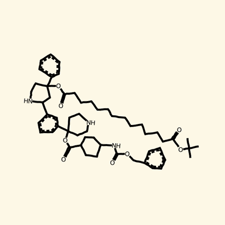 CC(C)(C)OC(=O)CCCCCCCCCCCCC(=O)OC1(c2ccccc2)CCNC(c2cccc(C3(OC(=O)C4CCC(NC(=O)OCc5ccccc5)CC4)CCNCC3)c2)C1